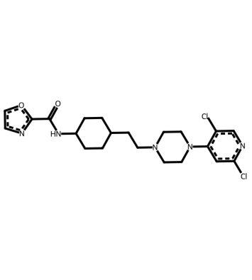 O=C(NC1CCC(CCN2CCN(c3cc(Cl)ncc3Cl)CC2)CC1)c1ncco1